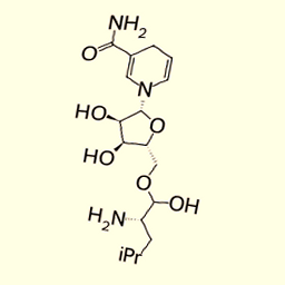 CC(C)C[C@H](N)C(O)OC[C@H]1O[C@@H](N2C=CCC(C(N)=O)=C2)[C@H](O)[C@@H]1O